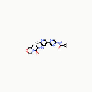 CC(Nc1cc(-c2cnc(NC(=O)C3CC3)cn2)cnc1C#N)C(=O)N1CCOCC1C